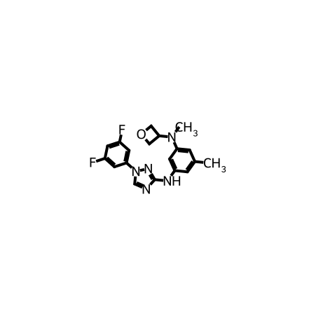 Cc1cc(Nc2ncn(-c3cc(F)cc(F)c3)n2)cc(N(C)C2COC2)c1